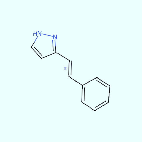 C(=C\c1cc[nH]n1)/c1ccccc1